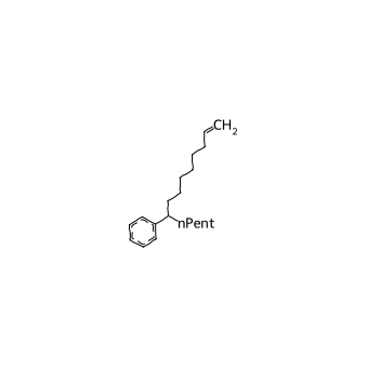 C=CCCCCCCC(CCCCC)c1ccccc1